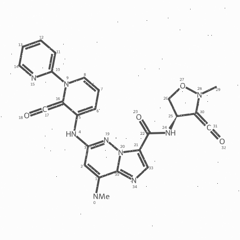 CNc1cc(NC2=CC=CN(c3ccccn3)C2=C=O)nn2c(C(=O)N[C@H]3CON(C)C3=C=O)cnc12